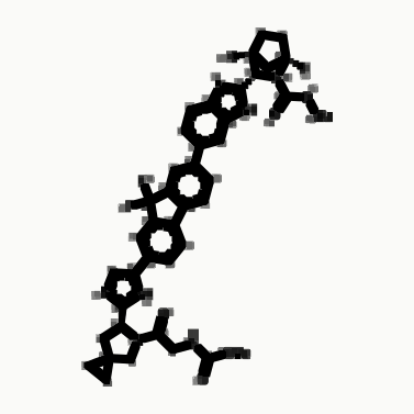 COC(=O)NCC(=O)N1CC2(CC2)C[C@H]1c1ncc(-c2ccc3c(c2)C(F)(F)c2cc(-c4ccc5nc([C@@H]6[C@H]7CC[C@H](C7)N6C(=O)OC(C)(C)C)[nH]c5c4)ccc2-3)[nH]1